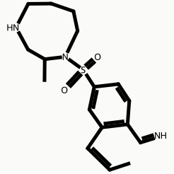 C/C=C\c1cc(S(=O)(=O)N2CCCCNCC2C)ccc1C=N